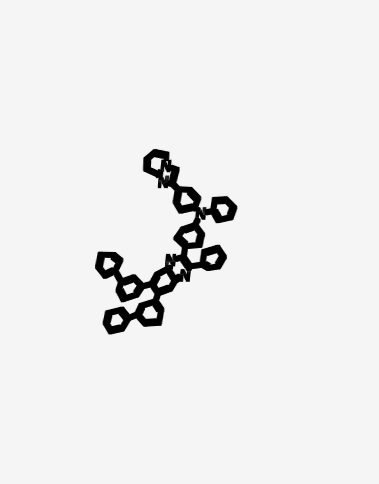 c1ccc(-c2cccc(-c3cc4nc(-c5ccccc5)c(-c5ccc(N(c6ccccc6)c6ccc(-c7cn8ccccc8n7)cc6)cc5)nc4cc3-c3cccc(-c4ccccc4)c3)c2)cc1